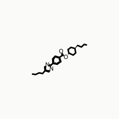 CCCCc1cnc(-c2ccc(C(=O)O[C@H]3CC[C@H](CCCC)CC3)cc2)nc1